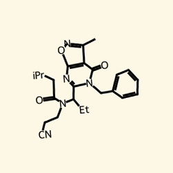 CCC(c1nc2onc(C)c2c(=O)n1Cc1ccccc1)N(CCC#N)C(=O)CC(C)C